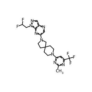 Cc1nc(N2CCC3(CC2)CCN(c2cnc4cnn(CC(F)F)c4n2)C3)cc(C(F)(F)F)n1